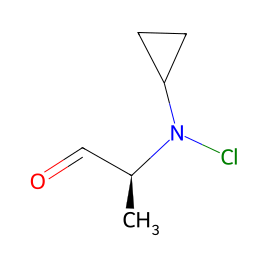 C[C@@H](C=O)N(Cl)C1CC1